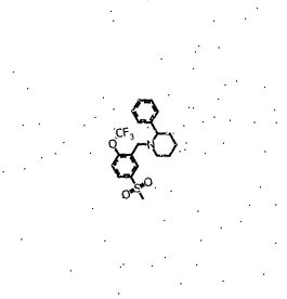 CS(=O)(=O)c1ccc(OC(F)(F)F)c(CN2CCC[CH]C2c2ccccc2)c1